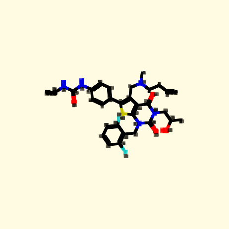 COCCN(C)Cc1c(-c2ccc(NC(=O)NOC)cc2)sc2c1c(=O)n(CC(C)O)c(=O)n2Cc1c(F)cccc1F